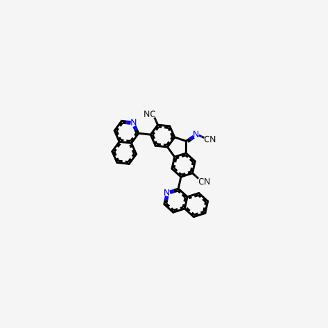 N#CN=C1c2cc(C#N)c(-c3nccc4ccccc34)cc2-c2cc(-c3nccc4ccccc34)c(C#N)cc21